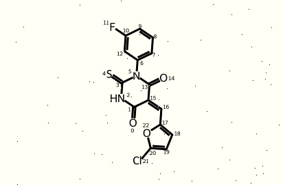 O=C1NC(=S)N(c2cccc(F)c2)C(=O)C1=Cc1ccc(Cl)o1